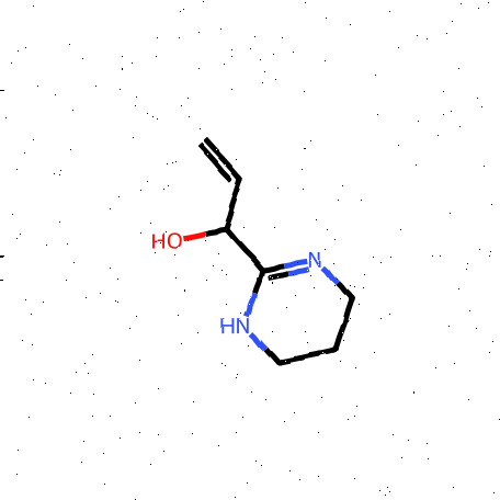 C=CC(O)C1=NCCCN1